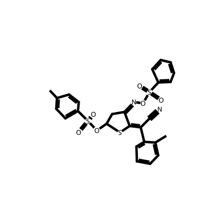 Cc1ccc(S(=O)(=O)OC2CC(=NOS(=O)(=O)c3ccccc3)C(=C(C#N)c3ccccc3C)S2)cc1